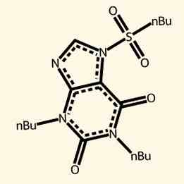 CCCCn1c(=O)c2c(ncn2S(=O)(=O)CCCC)n(CCCC)c1=O